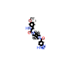 O=C(C1=CCc2[nH]nnc2C1)N1C[C@@H]2[C@H](C1)[C@H]1CN(C(=O)c3cc4ccc(OC(F)(F)F)cc4[nH]3)C[C@@H]21